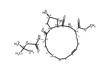 COC(=O)[C@@H]1CCC=CCCCCC[C@H](NC(=O)OC(C)(C)C)C(=O)N2C[C@@H](O)C[C@H]2C(=O)N1